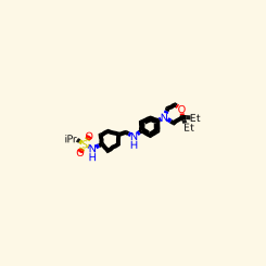 CCC1(CC)CN(c2ccc(NCC3CCC(NS(=O)(=O)C(C)C)CC3)cc2)CCO1